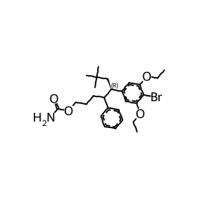 CCOc1cc([C@H](CC(C)(C)C)C(CCCOC(N)=O)c2ccccc2)cc(OCC)c1Br